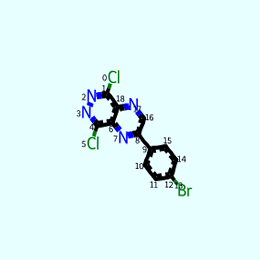 Clc1nnc(Cl)c2nc(-c3ccc(Br)cc3)cnc12